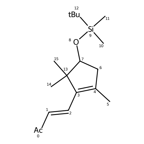 CC(=O)/C=C/C1=C(C)CC(O[Si](C)(C)C(C)(C)C)C1(C)C